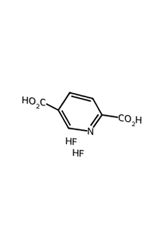 F.F.O=C(O)c1ccc(C(=O)O)nc1